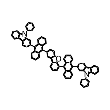 c1ccc(-n2c3ccccc3c3ccc(-c4c5ccccc5c(-c5ccc6oc7c(-c8c9ccccc9c(-c9ccc%10c%11ccccc%11n(-c%11ccccc%11)c%10c9)c9ccccc89)cccc7c6c5)c5ccccc45)cc32)cc1